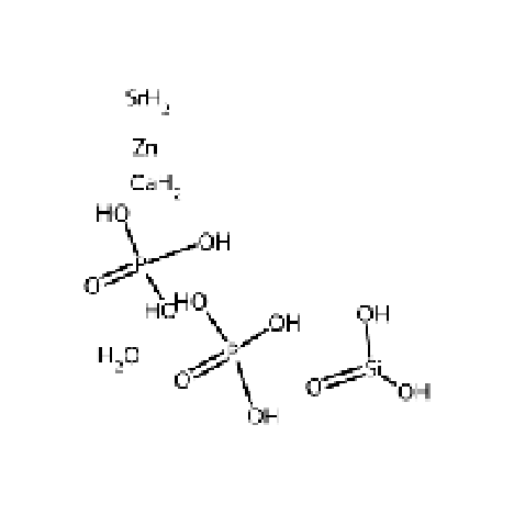 O.O=P(O)(O)O.O=P(O)(O)O.O=[Si](O)O.[CaH2].[SrH2].[Zn]